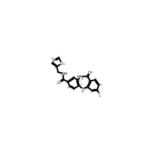 O=C(NCc1cnco1)c1ccc2c(c1)NC(=O)c1ccc(F)cc1S2